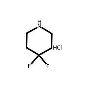 Cl.FC1(F)CCNCC1